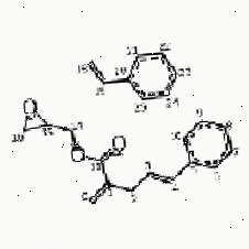 C=C(CC=Cc1ccccc1)C(=O)OCC1CO1.C=Cc1ccccc1